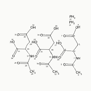 CC(=O)NC(CC(=O)O)C(=O)O.CC(=O)NC(CC(=O)O)C(=O)O.CC(=O)NC(CC(=O)O)C(=O)O.P.P